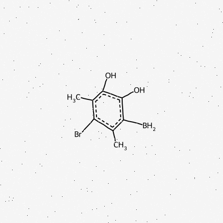 Bc1c(C)c(Br)c(C)c(O)c1O